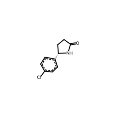 O=C1CC[C@@H](c2ccc(Cl)cc2)N1